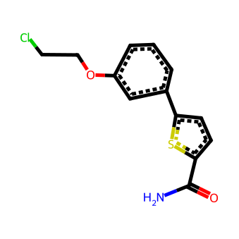 NC(=O)c1ccc(-c2cccc(OCCCl)c2)s1